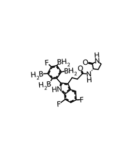 Bc1c(B)c(-c2[nH]c3c(F)cc(F)cc3c2CCC(=O)N[C@H]2CCNC2=O)c(B)c(B)c1F